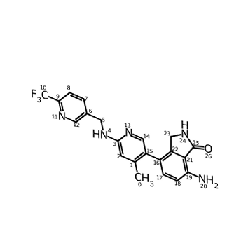 Cc1cc(NCc2ccc(C(F)(F)F)nc2)ncc1-c1ccc(N)c2c1CNC2=O